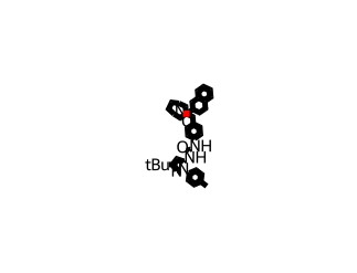 Cc1ccc(-n2nc(C(C)(C)C)cc2NC(=O)Nc2ccc(CC3CC4CCC(C3)N4C(=O)C3CCc4ccccc4C3)cc2)cc1